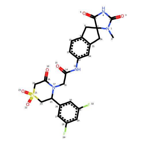 CN1C(=O)NC(=O)C12Cc1ccc(NC(=O)CN3C(=O)CS(=O)(=O)CC3c3cc(F)cc(F)c3)cc1C2